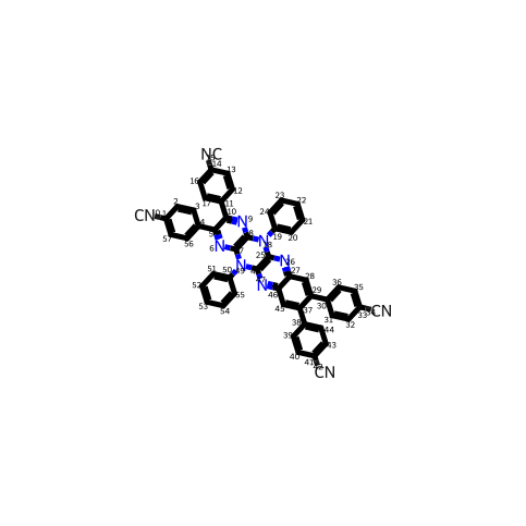 [C-]#[N+]c1ccc(-c2nc3c(nc2-c2ccc([N+]#[C-])cc2)N(c2ccccc2)c2nc4cc(-c5ccc(C#N)cc5)c(-c5ccc(C#N)cc5)cc4nc2N3c2ccccc2)cc1